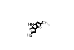 Cc1cc2[nH]c3sc(S)cc3c2s1